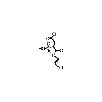 O=C(O)CC(C(=O)O/C=C/O)S(=O)(=O)O